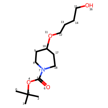 CC(C)(C)OC(=O)N1CCC(OCCCCO)CC1